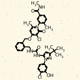 CNC(=O)c1ccc(C)c(-n2c(C)cc(OCc3ccccc3CNC(=O)Nc3cc(C(C)(C)C)nn3-c3ccc(Cl)c(O)c3)c(Cl)c2=O)c1